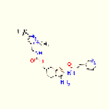 Cc1cc(CNC(=O)OCC2CCc3c(sc(NC(=O)/C=C/c4cccnc4)c3N)C2)n(C)n1